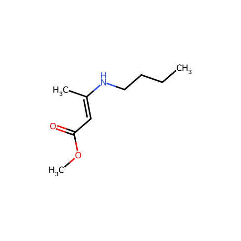 CCCCNC(C)=CC(=O)OC